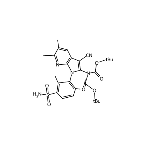 Cc1cc2c(C#N)c(N(C(=O)OC(C)(C)C)C(=O)OC(C)(C)C)n(-c3c(C)ccc(S(N)(=O)=O)c3C)c2nc1C